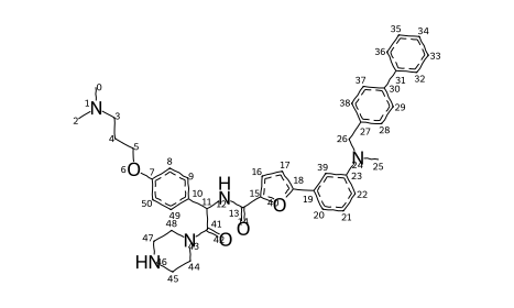 CN(C)CCCOc1ccc(C(NC(=O)c2ccc(-c3cccc(N(C)Cc4ccc(-c5ccccc5)cc4)c3)o2)C(=O)N2CCNCC2)cc1